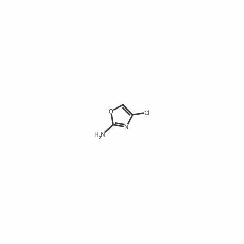 Nc1nc(Cl)co1